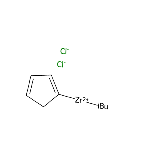 CC[CH](C)[Zr+2][C]1=CC=CC1.[Cl-].[Cl-]